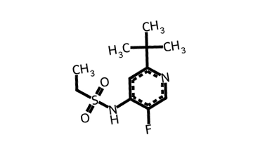 CCS(=O)(=O)Nc1cc(C(C)(C)C)ncc1F